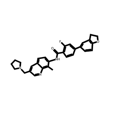 Cc1c(NC(=O)c2ccc(-c3ccc4c(c3)CCO4)cc2F)ccc2cc(CN3CCCC3)cnc12